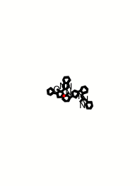 c1ccc2nc(-n3c4ccccc4c4cc5c(cc43)c3ccccc3n5-c3nc4ccccc4nc3-c3cccc4c3oc3ccccc34)cnc2c1